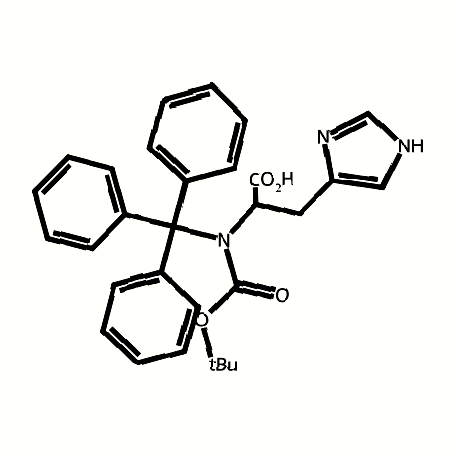 CC(C)(C)OC(=O)N(C(Cc1c[nH]cn1)C(=O)O)C(c1ccccc1)(c1ccccc1)c1ccccc1